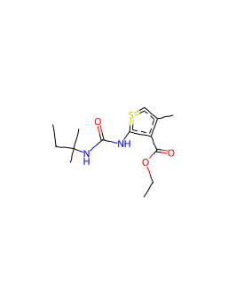 CCOC(=O)c1c(C)csc1NC(=O)NC(C)(C)CC